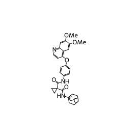 COc1cc2nccc(Oc3ccc(NC(=O)C4(C(=O)NC56CCC(CC5)CC6)CC4)cc3)c2cc1OC